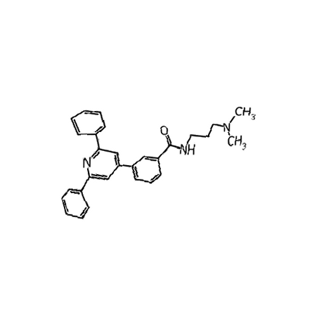 CN(C)CCCNC(=O)c1cccc(-c2cc(-c3ccccc3)nc(-c3ccccc3)c2)c1